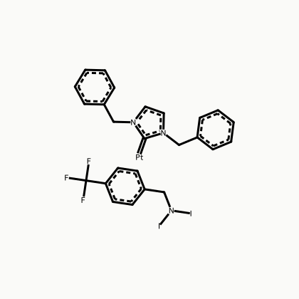 FC(F)(F)c1ccc(CN(I)I)cc1.[Pt]=[c]1n(Cc2ccccc2)ccn1Cc1ccccc1